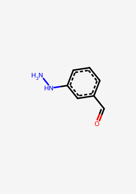 NNc1cccc(C=O)c1